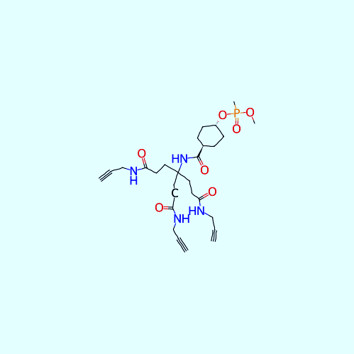 C#CCNC(=O)CCC(CCC(=O)NCC#C)(CCC(=O)NCC#C)NC(=O)[C@H]1CC[C@H](OP(C)(=O)OC)CC1